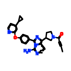 CC#CC(=O)N1CCC(c2nc(-c3ccc(Oc4cc(C5CC5)ccn4)cc3)n3c(N)nccc23)C1